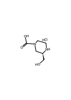 Cl.O=C(O)N1CCN[C@@H](CO)C1